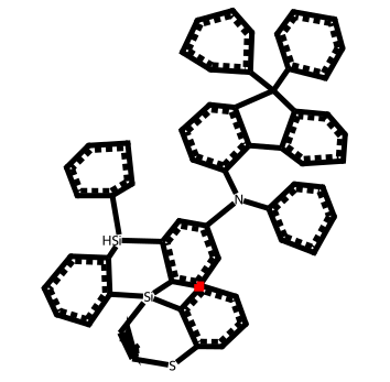 c1ccc(N(c2ccc3c(c2)[SiH](c2ccccc2)c2ccccc2[Si]32c3ccccc3Sc3ccccc32)c2cccc3c2-c2ccccc2C3(c2ccccc2)c2ccccc2)cc1